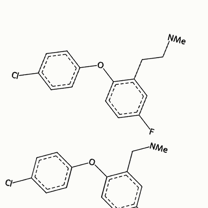 CNCCc1cc(F)ccc1Oc1ccc(Cl)cc1.CNCc1cc(F)ccc1Oc1ccc(Cl)cc1